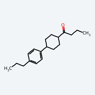 CCCC(=O)C1CCC(c2ccc(CCC)cc2)CC1